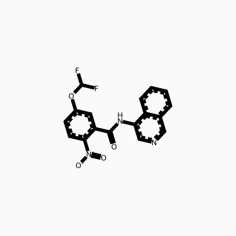 O=C(Nc1cncc2ccccc12)c1cc(OC(F)F)ccc1[N+](=O)[O-]